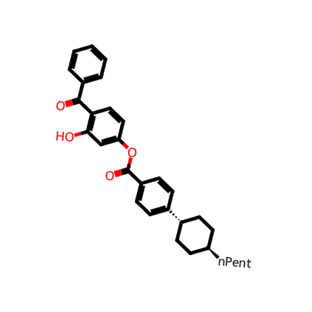 CCCCC[C@H]1CC[C@H](c2ccc(C(=O)Oc3ccc(C(=O)c4ccccc4)c(O)c3)cc2)CC1